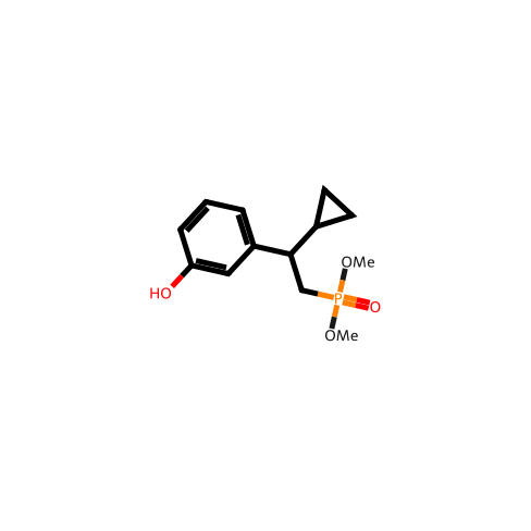 COP(=O)(CC(c1cccc(O)c1)C1CC1)OC